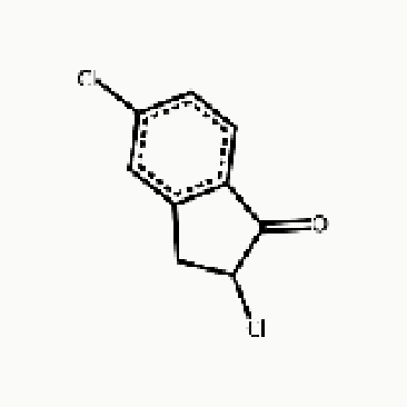 O=C1c2ccc(Cl)cc2CC1Cl